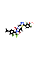 O=C1N(C(c2ccc(C3CC3)cc2F)C(F)(F)F)C(=O)C2(CC2)N1Cc1nnc(-c2ccc(F)c(O)c2F)s1